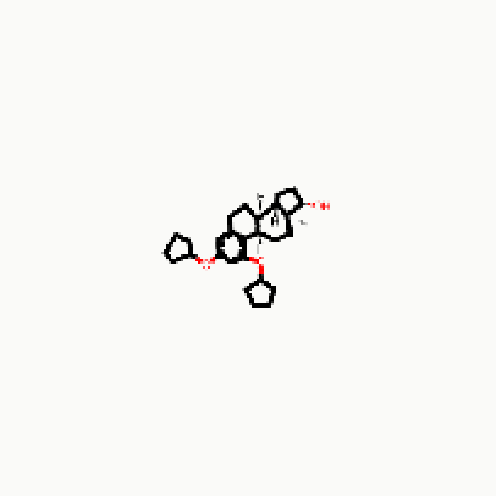 C[C@]12CC[C@@H]3c4c(cc(OC5CCCC5)cc4OC4CCCC4)CC[C@@H]3[C@@H]1CC[C@@H]2O